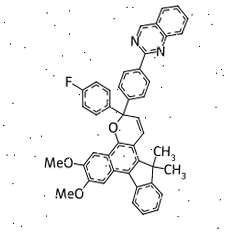 COc1cc2c3c(c4c(c2cc1OC)-c1ccccc1C4(C)C)C=CC(c1ccc(F)cc1)(c1ccc(-c2ncc4ccccc4n2)cc1)O3